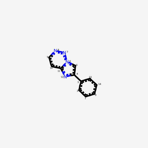 c1ccc(-c2cn3nnccc3n2)cc1